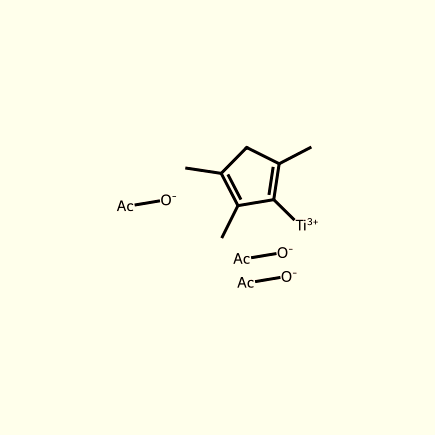 CC(=O)[O-].CC(=O)[O-].CC(=O)[O-].CC1=C(C)[C]([Ti+3])=C(C)C1